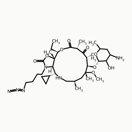 CC[C@H]1OC(=O)[C@H](C)C(=O)[C@H](C)[C@@H](O[C@@H]2OC(C)CC(N)C2O)[C@](C)(OC)C[C@@H](C)CN[C@H](C2CC2)[C@H]2N(CCCCN=[N+]=[N-])C(=O)O[C@]12C